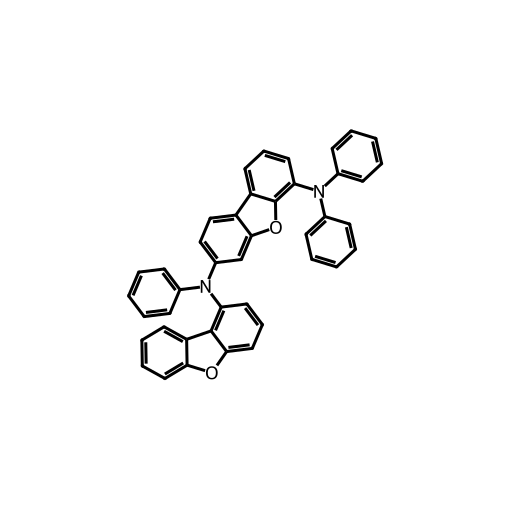 c1ccc(N(c2ccccc2)c2cccc3c2oc2cc(N(c4ccccc4)c4cccc5oc6ccccc6c45)ccc23)cc1